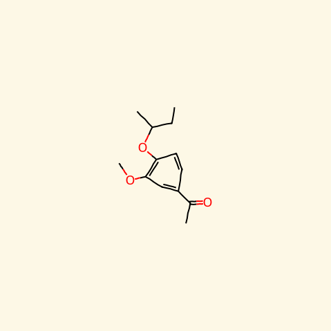 CCC(C)Oc1ccc(C(C)=O)cc1OC